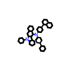 C1=CC(c2ccccc2)CC=C1N(c1ccc(-c2cccc3ccccc23)cc1)c1c2ccccc2cc2c1c1ccccc1n2-c1ccccc1